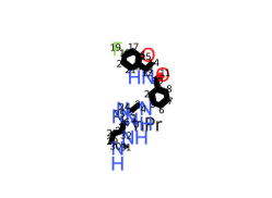 CCCN1C(CNc2cccc(C(=O)N[C@H]3COc4cc(F)ccc43)c2)N=NC1C1CCNCN1